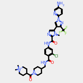 Cn1c(-c2cn(-c3ccc(N)cn3)nc2C(F)(F)F)cnc1C(=O)Nc1ccc(C(=O)NCC2CCN(C(=O)C3CC[N+](C)(C)CC3)CC2)c(Cl)c1